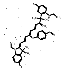 C=C(/C=C/C=C(/C=C/C=C1/N(CC)c2ccc(Cl)cc2C1(C)C)Oc1ccc(N=N)cc1)C(C)(C)c1cc(Cl)ccc1BCC